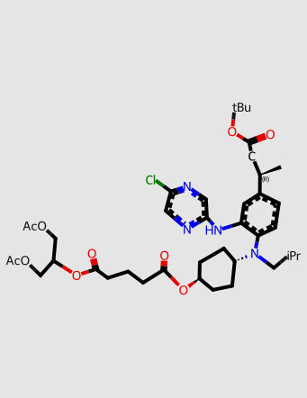 CC(=O)OCC(COC(C)=O)OC(=O)CCCC(=O)O[C@H]1CC[C@H](N(CC(C)C)c2ccc([C@H](C)CC(=O)OC(C)(C)C)cc2Nc2cnc(Cl)cn2)CC1